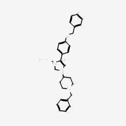 CN1CN(C2CCN(Cc3ccccc3)CC2)C=C1c1ccc(OCc2ccccc2)cc1